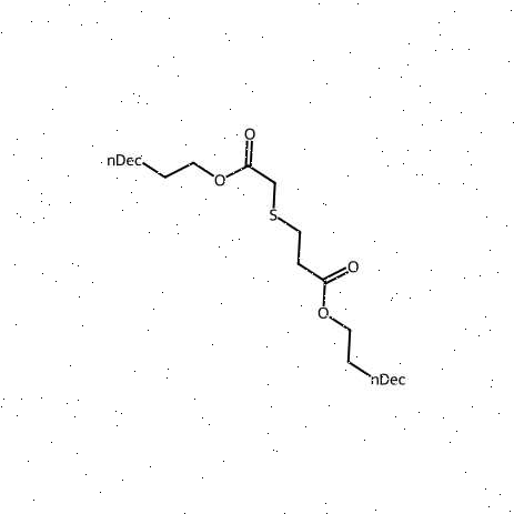 CCCCCCCCCCCCOC(=O)CCSCC(=O)OCCCCCCCCCCCC